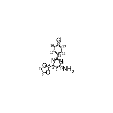 Nc1cc(C2OCCO2)nc(-c2ccc(Cl)cc2)n1